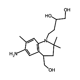 Cc1cc2c(cc1N)C(CO)CC(C)(C)N2CCC(O)CO